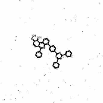 N=C1/C(=N\S)C=Cc2c(-c3ccccc3)nc3c(-c4ccc(-c5nc(-c6ccccc6)nc(-c6ccccc6)n5)cc4)cccc3c21